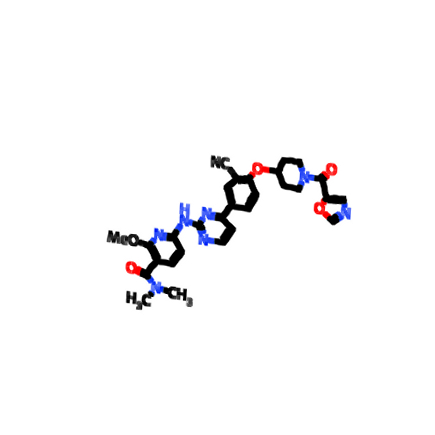 COc1nc(Nc2nccc(-c3ccc(OC4CCN(C(=O)c5cnco5)CC4)c(C#N)c3)n2)ccc1C(=O)N(C)C